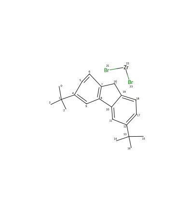 CC(C)(C)c1ccc2c(c1)-c1cc(C(C)(C)C)ccc1[CH]2.[Br][Zr][Br]